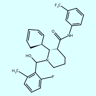 Cc1cccc(F)c1C(O)N1CCCC(C(=O)Nc2cccc(C(F)(F)F)c2)[C@H]1[C@@H]1C=CC=CC1